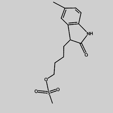 Cc1ccc2c(c1)C(CCCCOS(C)(=O)=O)C(=O)N2